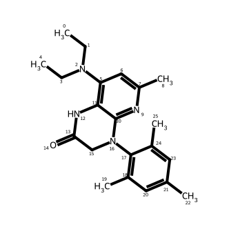 CCN(CC)c1cc(C)nc2c1NC(=O)CN2c1c(C)cc(C)cc1C